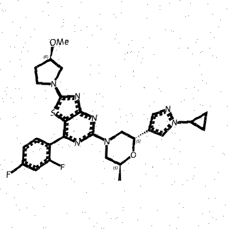 CO[C@@H]1CCN(c2nc3nc(N4C[C@H](C)O[C@@H](c5cnn(C6CC6)c5)C4)nc(-c4ccc(F)cc4F)c3s2)C1